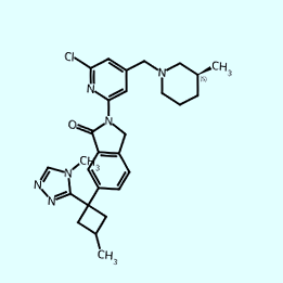 CC1CC(c2ccc3c(c2)C(=O)N(c2cc(CN4CCC[C@H](C)C4)cc(Cl)n2)C3)(c2nncn2C)C1